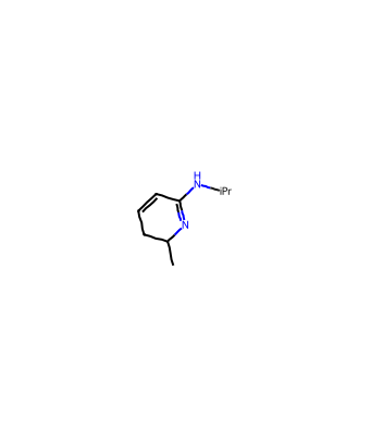 CC1CC=CC(NC(C)C)=N1